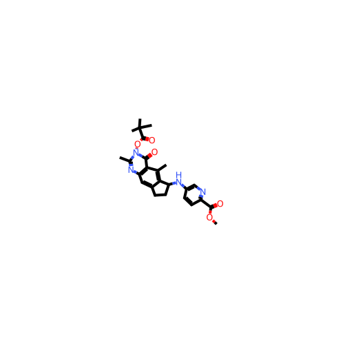 COC(=O)c1ccc(NC2CCc3cc4nc(C)n(OC(=O)C(C)(C)C)c(=O)c4c(C)c32)cn1